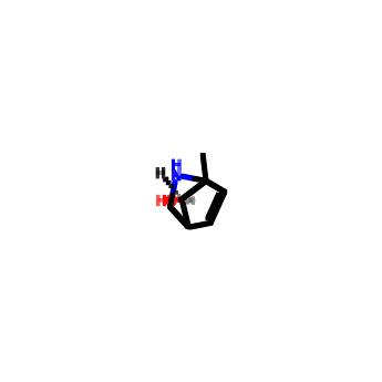 CC12C=CC(CN1)[C@H]2O